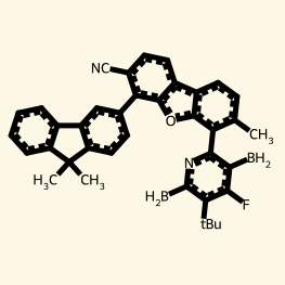 Bc1nc(-c2c(C)ccc3c2oc2c(-c4ccc5c(c4)-c4ccccc4C5(C)C)c(C#N)ccc23)c(B)c(F)c1C(C)(C)C